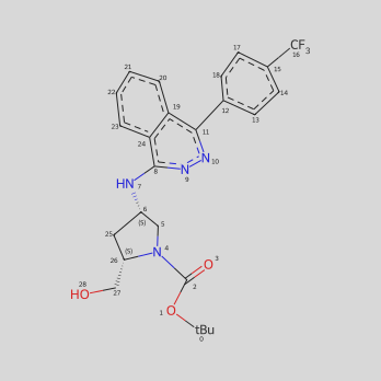 CC(C)(C)OC(=O)N1C[C@@H](Nc2nnc(-c3ccc(C(F)(F)F)cc3)c3ccccc23)C[C@H]1CO